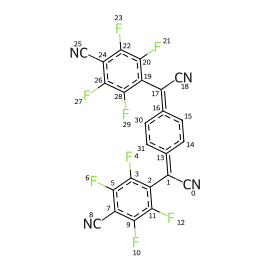 N#CC(c1c(F)c(F)c(C#N)c(F)c1F)=c1ccc(=C(C#N)c2c(F)c(F)c(C#N)c(F)c2F)cc1